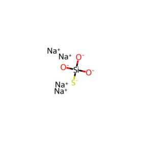 [Na+].[Na+].[Na+].[Na+].[O-][Si]([O-])([O-])[S-]